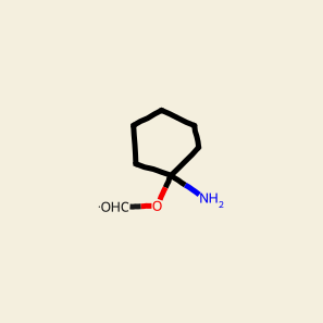 NC1(O[C]=O)CCCCC1